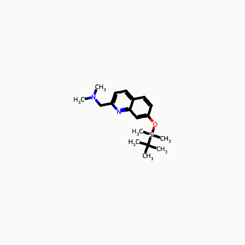 CN(C)Cc1ccc2ccc(O[Si](C)(C)C(C)(C)C)cc2n1